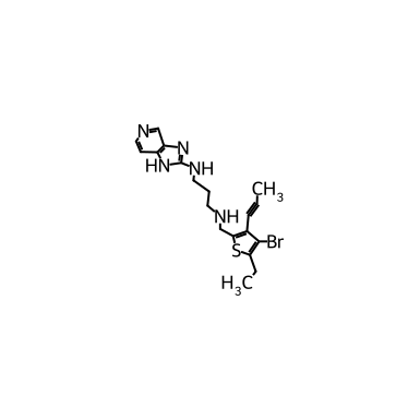 CC#Cc1c(CNCCCNc2nc3cnccc3[nH]2)sc(CC)c1Br